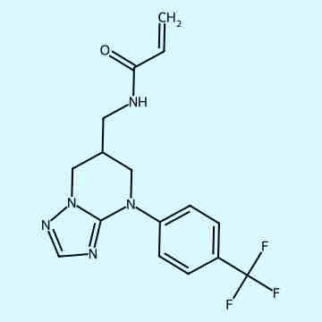 C=CC(=O)NCC1CN(c2ccc(C(F)(F)F)cc2)c2ncnn2C1